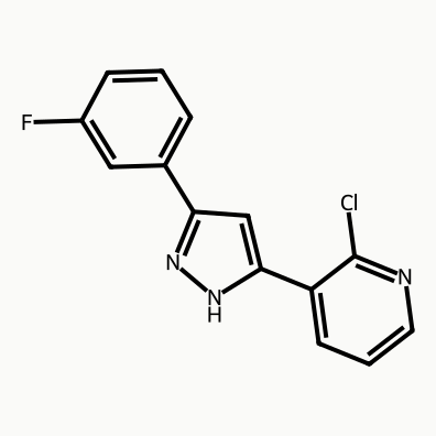 Fc1cccc(-c2cc(-c3cccnc3Cl)[nH]n2)c1